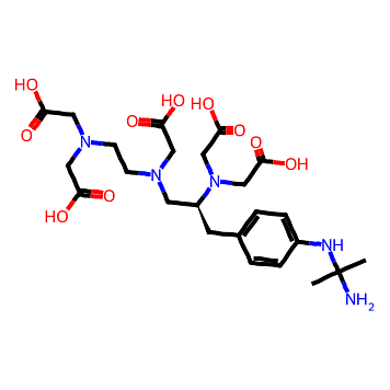 CC(C)(N)Nc1ccc(C[C@@H](CN(CCN(CC(=O)O)CC(=O)O)CC(=O)O)N(CC(=O)O)CC(=O)O)cc1